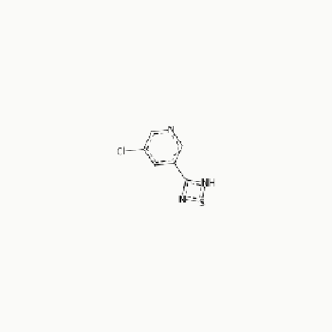 Clc1cncc(-c2ns[nH]2)c1